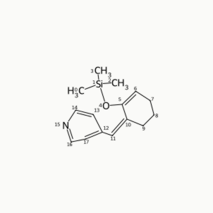 C[Si](C)(C)OC1=CCCCC1=Cc1ccncc1